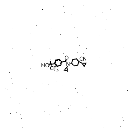 C[C@](O)(c1ccc(C(=O)N(C2CC2)[C@H]2CC[C@@](C#N)(C3CC3)CC2)cc1)C(F)(F)F